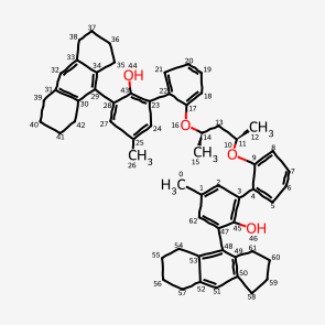 Cc1cc(-c2ccccc2O[C@H](C)C[C@@H](C)Oc2ccccc2-c2cc(C)cc(-c3c4c(cc5c3CCCC5)CCCC4)c2O)c(O)c(-c2c3c(cc4c2CCCC4)CCCC3)c1